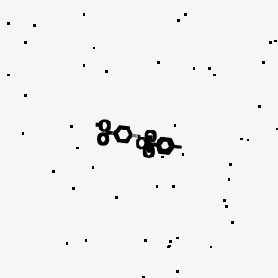 COC(=O)[C@H]1CC[C@H](COS(=O)(=O)c2ccc(C)cc2)CC1